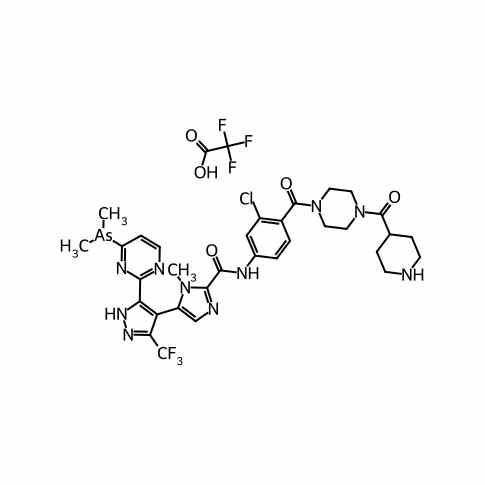 Cn1c(-c2c(C(F)(F)F)n[nH]c2-c2nccc([As](C)C)n2)cnc1C(=O)Nc1ccc(C(=O)N2CCN(C(=O)C3CCNCC3)CC2)c(Cl)c1.O=C(O)C(F)(F)F